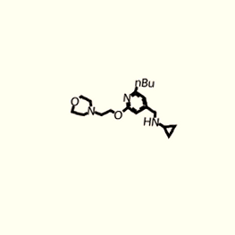 CCCCc1cc(CNC2CC2)cc(OCCN2CCOCC2)n1